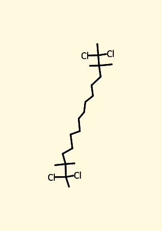 CC(Cl)(Cl)C(C)(C)CCCCCCCCCCC(C)(C)C(C)(Cl)Cl